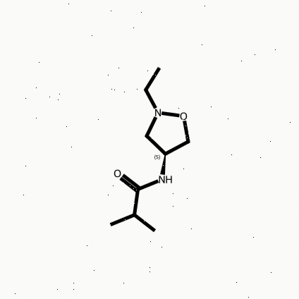 CCN1C[C@H](NC(=O)C(C)C)CO1